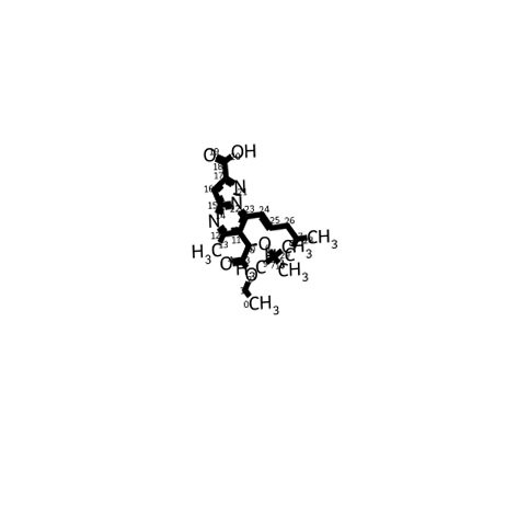 CCOC(=O)[C@@H](OC(C)(C)C)c1c(C)nc2cc(C(=O)O)nn2c1C=CCC(C)C